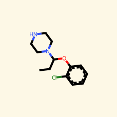 CCC(Oc1ccccc1Cl)N1CCNCC1